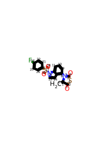 C=C1C(=O)SC(=O)N1c1cccc2c1ccn2S(=O)(=O)c1ccc(F)cc1